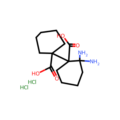 Cl.Cl.NC1(N)CCCCC1(C(=O)O)C1(C(=O)O)CCCCC1